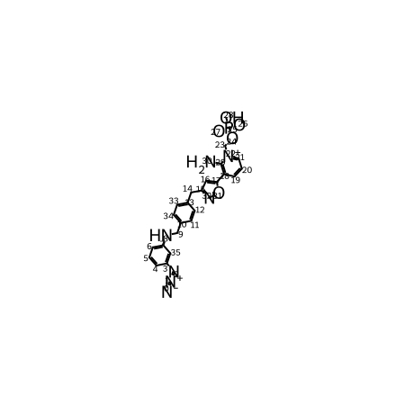 [N-]=[N+]=Nc1cccc(NCc2ccc(Cc3cc(-c4ccc[n+](COP(=O)([O-])O)c4N)on3)cc2)c1